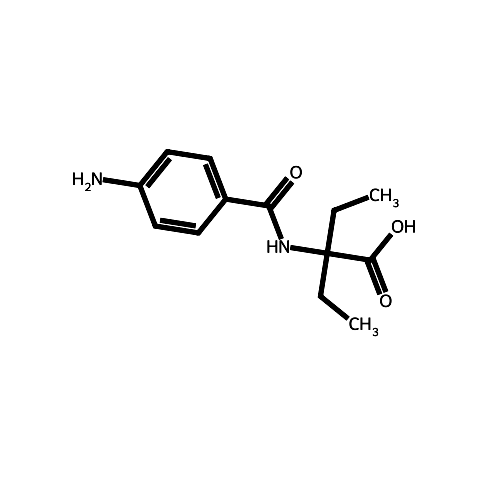 CCC(CC)(NC(=O)c1ccc(N)cc1)C(=O)O